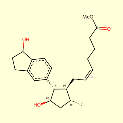 COC(=O)CCC/C=C\C[C@@H]1[C@@H](c2ccc3c(c2)CCC3O)[C@H](O)C[C@H]1Cl